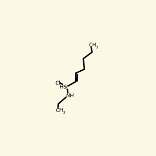 CCCCC=C[SiH](Cl)NCC